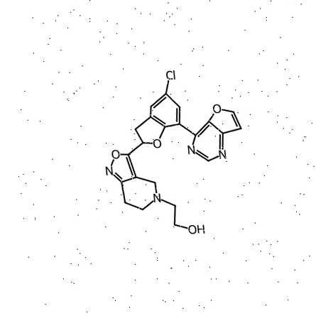 OCCN1CCc2noc(C3Cc4cc(Cl)cc(-c5ncnc6ccoc56)c4O3)c2C1